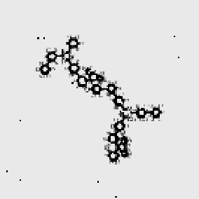 c1ccc(-c2ccc(-c3nc(-c4ccc(-c5cccc(-c6ccc7c(c6)C6(c8cc(-c9ccc(-c%10nc(-c%11ccccc%11)nc(-c%11cccc(-c%12ccccc%12)c%11)n%10)cc9)ccc8O7)c7ccccc7-c7ccccc76)c5)cc4)nc(-c4ccc(-c5ccc6c(c5)C5(c7ccccc7O6)c6ccccc6-c6ccccc65)cc4)n3)cc2)cc1